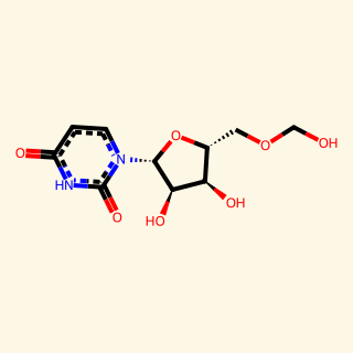 O=c1ccn([C@@H]2O[C@H](COCO)[C@@H](O)[C@H]2O)c(=O)[nH]1